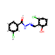 O=C(N/N=C/c1c(O)cccc1Cl)c1cccc(Cl)c1